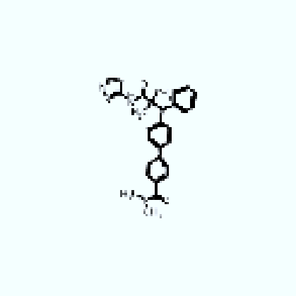 CN(C)C(=O)c1ccc(-c2ccc(C(c3ccccc3)C(C)(C)C(=O)Nc3nncs3)cc2)cc1